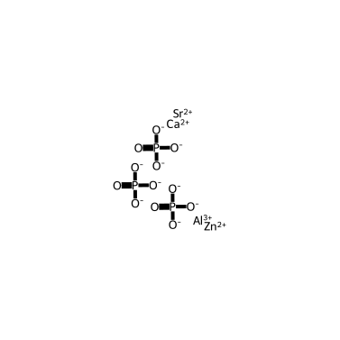 O=P([O-])([O-])[O-].O=P([O-])([O-])[O-].O=P([O-])([O-])[O-].[Al+3].[Ca+2].[Sr+2].[Zn+2]